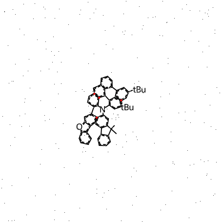 CC(C)(C)c1cc(-c2cccc3cccc(-c4ccccc4N(c4ccc5c(c4)C(C)(C)c4ccccc4-5)c4ccccc4-c4ccc5c(c4)oc4ccccc45)c23)cc(C(C)(C)C)c1